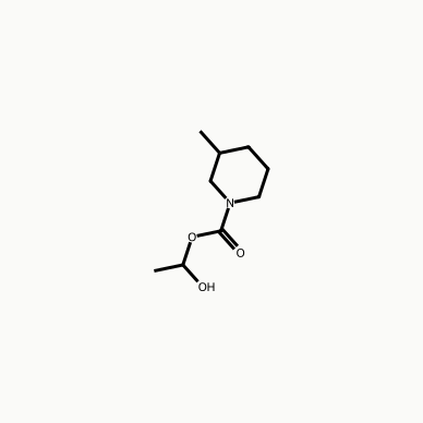 CC1CCCN(C(=O)OC(C)O)C1